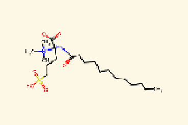 CCCCCCCCCCCC(=O)NC(CCCS(=O)(=O)O)(C(=O)[O-])[N+](C)(C)C